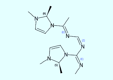 C/N=C(/N=C\N=C(/C)N1C=CN(C)[C@H]1C)N1C=CN(C)[C@@H]1C